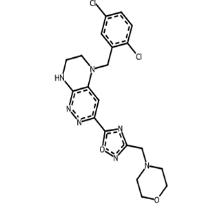 Clc1ccc(Cl)c(CN2CCNc3nnc(-c4nc(CN5CCOCC5)no4)cc32)c1